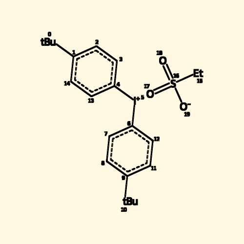 CC(C)(C)c1ccc([I+]c2ccc(C(C)(C)C)cc2)cc1.CCS(=O)(=O)[O-]